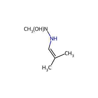 CC(C)=CNN(C)O